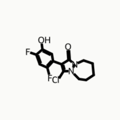 O=c1c(-c2cc(O)c(F)cc2F)c(Cl)n2n1CCCCC2